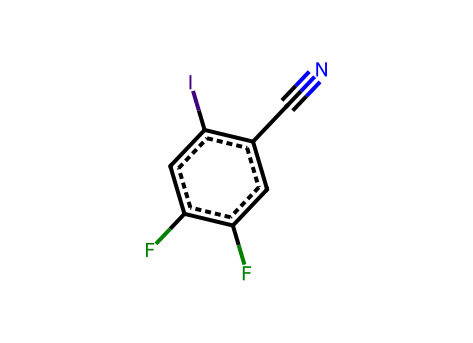 N#Cc1cc(F)c(F)cc1I